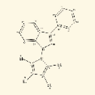 CCC1=C(CC)C(CC)=C(CC)[C]1C1C=C(c2ccccc2)c2ccccc21